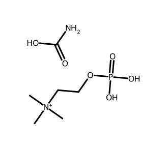 C[N+](C)(C)CCOP(=O)(O)O.NC(=O)O